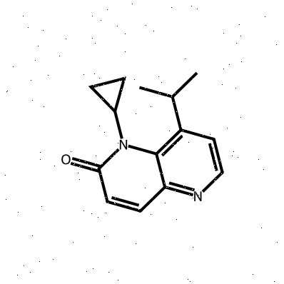 CC(C)c1ccnc2ccc(=O)n(C3CC3)c12